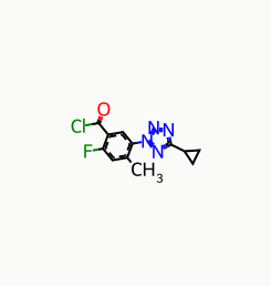 Cc1cc(F)c(C(=O)Cl)cc1-n1nnc(C2CC2)n1